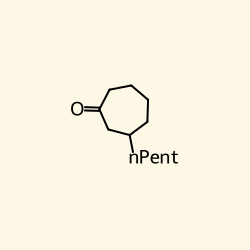 CCCCCC1CCCCC(=O)C1